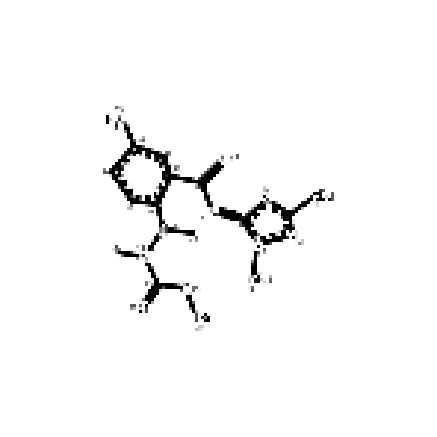 CCCCn1nc(C(C)(C)C)sc1=NC(=O)c1cc(C(F)(F)F)ccc1N(C)N(C)C(=O)OC(C)(C)C